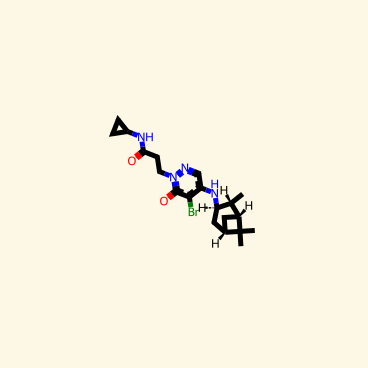 C[C@@H]1[C@H]2C[C@@H](C[C@H]1Nc1cnn(CCC(=O)NC3CC3)c(=O)c1Br)C2(C)C